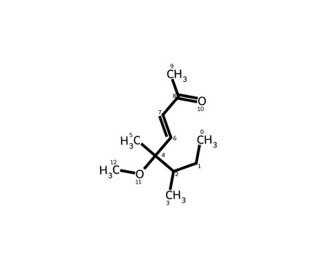 CCC(C)C(C)(C=CC(C)=O)OC